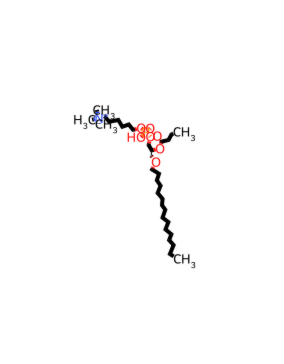 CCCCCCCCCCCCCCCCOC[C@H](COP(=O)(O)OCCCCCC[N+](C)(C)C)OC(=O)CCC